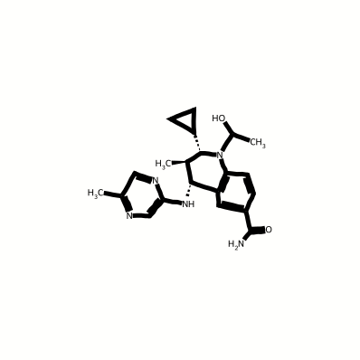 Cc1cnc(N[C@H]2c3cc(C(N)=O)ccc3N(C(C)O)[C@@H](C3CC3)[C@@H]2C)cn1